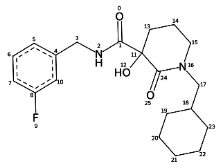 O=C(NCc1cccc(F)c1)C1(O)CCCN(CC2CCCCC2)C1=O